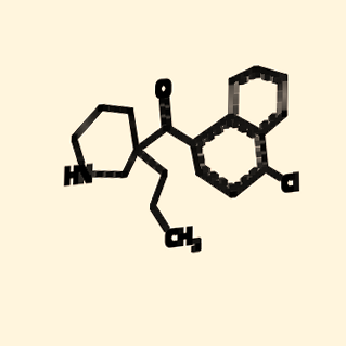 CCCC1(C(=O)c2ccc(Cl)c3ccccc23)CCCNC1